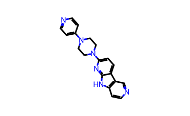 c1cc(N2CCN(c3ccc4c(n3)[nH]c3ccncc34)CC2)ccn1